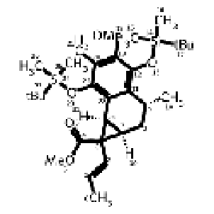 C/C=C/C1(C(=O)OC)[C@@H]2C[C@@H](C)c3c(O[Si](C)(C)C(C)(C)C)c(OC)c(C)c(O[Si](C)(C)C(C)(C)C)c3[C@@H]21